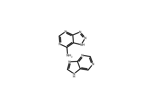 Nc1ncnc2nn[nH]c12.c1ncc2[nH]cnc2n1